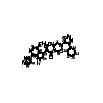 C[C@@H]1CN(c2snnc2-c2ccccc2)CCN1C(=O)C(=O)c1c[nH]c2c(-n3ccnn3)ncc(F)c12